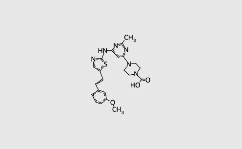 COc1cccc(/C=C/c2cnc(Nc3cc(N4CCN(C(=O)O)CC4)nc(C)n3)s2)c1